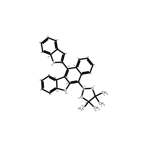 CC1(C)OB(c2c3ccccc3c(-c3cc4ccccc4s3)c3c2oc2ccccc23)OC1(C)C